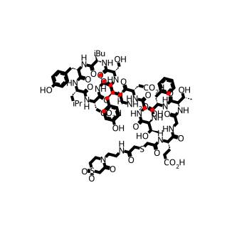 CC[C@H](C)[C@H](NC(=O)[C@H](CO)NC(=O)[C@H](Cc1ccc(O)cc1)NC(=O)[C@H](CC(=O)O)NC(=O)[C@H](CO)NC(=O)[C@@H](NC(=O)[C@H](Cc1ccccc1)NC(=O)[C@@H](NC(=O)CNC(=O)[C@H](CCC(=O)O)NC(=O)CSCC(=O)NCCN1CCS(=O)(=O)CC1=O)[C@@H](C)O)[C@@H](C)O)C(=O)N[C@@H](Cc1ccc(O)cc1)C(=O)N[C@@H](CC(C)C)C(=O)N[C@@H](CC(=O)O)C(=O)N[C@H](C)CCCCN